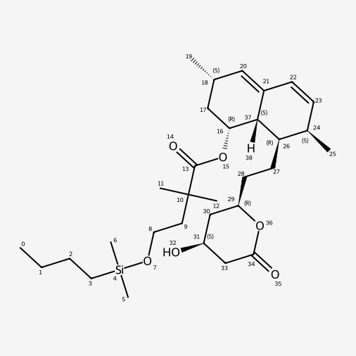 CCCC[Si](C)(C)OCCC(C)(C)C(=O)O[C@@H]1C[C@H](C)C=C2C=C[C@@H](C)[C@@H](CC[C@@H]3C[C@H](O)CC(=O)O3)[C@@H]21